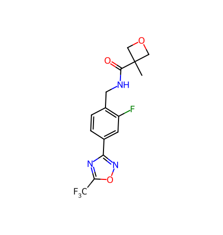 CC1(C(=O)NCc2ccc(-c3noc(C(F)(F)F)n3)cc2F)COC1